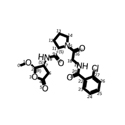 CO[C@@H]1OC(=O)C[C@@H]1NC(=O)[C@@H]1CCCN1C(=O)CNC(=O)c1ccccc1Cl